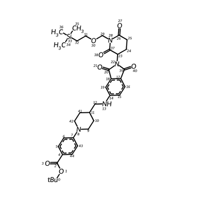 CC(C)(C)OC(=O)c1ccc(N2CCC(CNc3ccc4c(c3)C(=O)N(C3CCC(=O)N(COCC[Si](C)(C)C)C3=O)C4=O)CC2)cc1